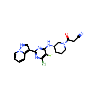 N#CCC(=O)N1CCC[C@@H](Nc2nc(-c3cnn4ccccc34)nc(Cl)c2F)C1